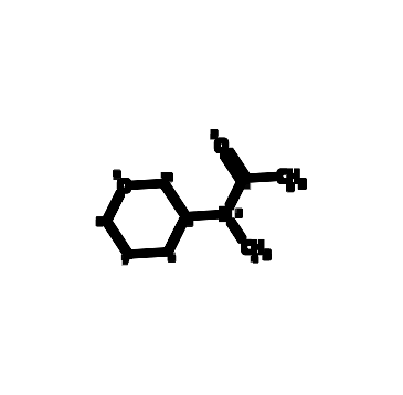 CC(=O)N(C)C1CCCOC1